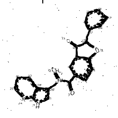 C=[N+](C(=O)c1ccc2c(c1)C(=O)C(c1ccccc1)O2)c1c[nH]c2ncccc12